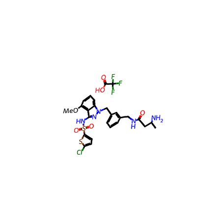 COc1cccc2c1c(NS(=O)(=O)c1ccc(Cl)s1)nn2Cc1cccc(CNC(=O)CC(C)N)c1.O=C(O)C(F)(F)F